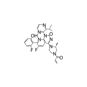 C=CC(=O)N1CCN(c2nc(=O)n(-c3nccnc3C(C)C)c3nc(-c4c(O)cccc4F)c(F)cc23)[C@@H](C)C1